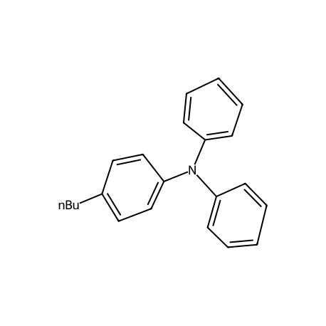 CCCCc1ccc(N(c2ccccc2)c2ccccc2)cc1